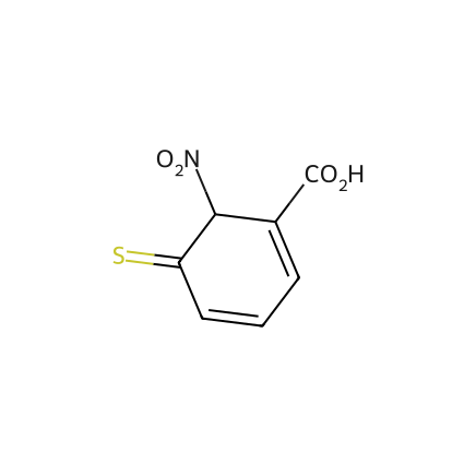 O=C(O)C1=CC=CC(=S)C1[N+](=O)[O-]